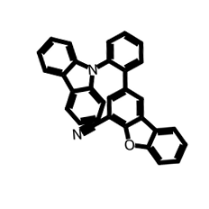 N#Cc1cc(-c2ccccc2-n2c3ccccc3c3ccccc32)cc2c1oc1ccccc12